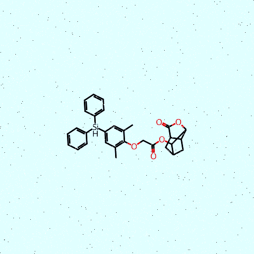 Cc1cc([SiH](c2ccccc2)c2ccccc2)cc(C)c1OCC(=O)OC1C2CC3C(=O)OC1C3C2